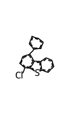 Clc1ccc(-c2ccccc2)c2c1sc1ccccc12